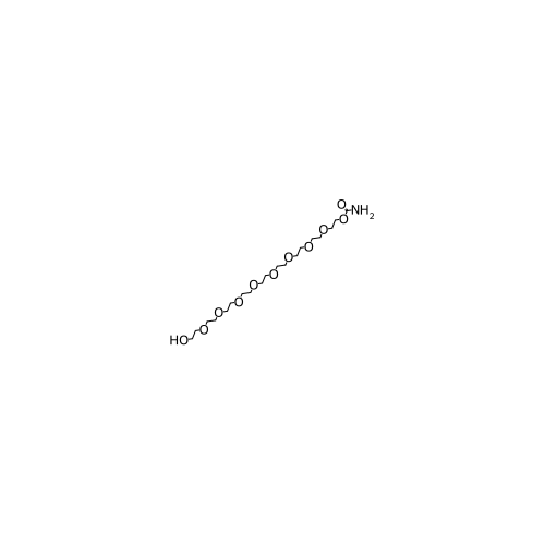 NC(=O)OCCOCCOCCOCCOCCOCCOCCOCCOCCO